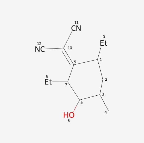 CCC1CC(C)C(O)C(CC)C1=C(C#N)C#N